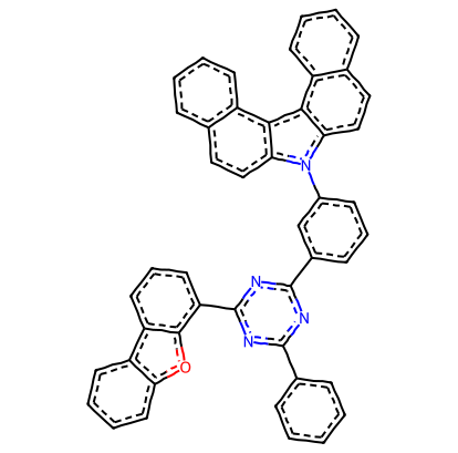 c1ccc(-c2nc(-c3cccc(-n4c5ccc6ccccc6c5c5c6ccccc6ccc54)c3)nc(-c3cccc4c3oc3ccccc34)n2)cc1